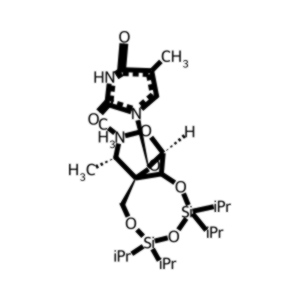 Cc1cn([C@@H]2O[C@]34CO[Si](C(C)C)(C(C)C)O[Si](C(C)C)(C(C)C)OC3[C@@H]2ON(C)[C@H]4C)c(=O)[nH]c1=O